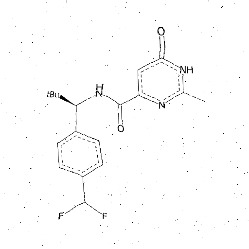 Cc1nc(C(=O)N[C@@H](c2ccc(C(F)F)cc2)C(C)(C)C)cc(=O)[nH]1